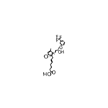 CC1=CC(=O)[C@H](CC=CCCCC(=O)O)[C@H]1C=CC(O)COc1cccc(C(F)(F)F)c1